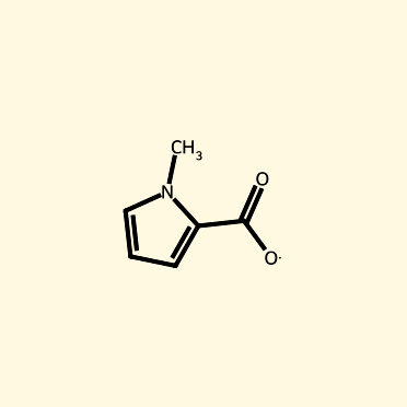 Cn1cccc1C([O])=O